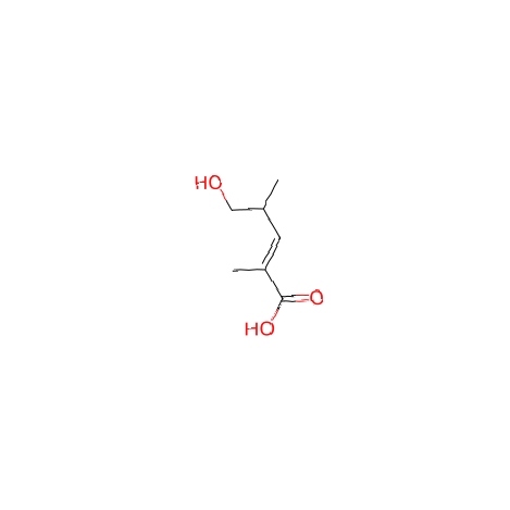 C/C(=C\C(C)CO)C(=O)O